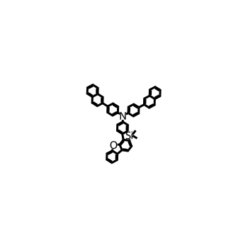 C[Si]1(C)c2cc(N(c3ccc(-c4ccc5ccccc5c4)cc3)c3ccc(-c4ccc5ccccc5c4)cc3)ccc2-c2c1ccc1c2oc2ccccc21